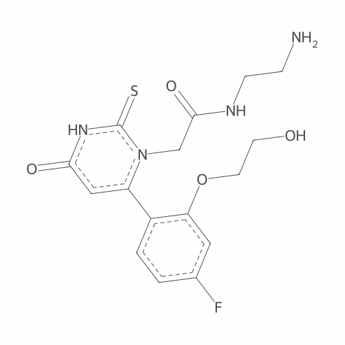 NCCNC(=O)Cn1c(-c2ccc(F)cc2OCCO)cc(=O)[nH]c1=S